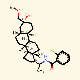 CCOC[C@@]1(O)CC[C@H]2[C@H](CC[C@@H]3[C@@H]2CC[C@]2(C)[C@@H](C(C)NC(=O)c4ccccc4F)CC[C@@H]32)C1